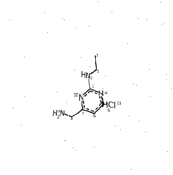 CCNc1nccc(CN)n1.Cl